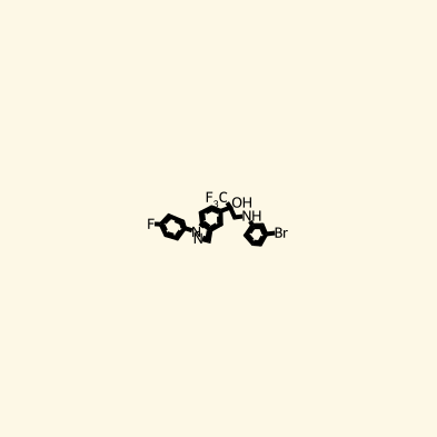 OC(CNc1cccc(Br)c1)(c1ccc2c(cnn2-c2ccc(F)cc2)c1)C(F)(F)F